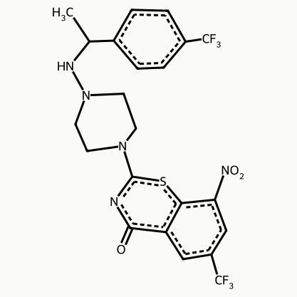 CC(NN1CCN(c2nc(=O)c3cc(C(F)(F)F)cc([N+](=O)[O-])c3s2)CC1)c1ccc(C(F)(F)F)cc1